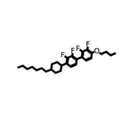 CCCCCCCC1CCC(c2ccc(-c3ccc(OCCCC)c(F)c3F)c(F)c2F)CC1